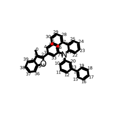 Cc1c(-c2cccc(N(c3cccc(-c4ccccc4)c3)c3ccccc3-c3ccccc3)c2)oc2ccccc12